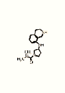 CN(C)C(=O)N1CCC(Nc2cccc3c2CNCC3)C1